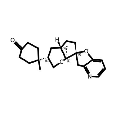 CC1([C@H]2CC[C@@]3(C)[C@@H](CC[C@@]34Cc3ncccc3O4)C2)CCC(=O)CC1